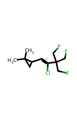 CC1(C)[CH]C1/C=C(\Cl)C(CF)(CF)CF